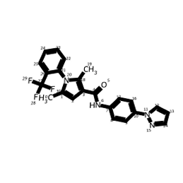 Cc1cc(C(=O)Nc2ccc(-n3cccn3)cc2)c(C)n1-c1ccccc1C(F)(F)F